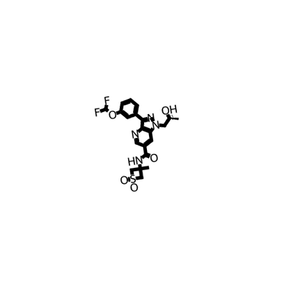 C[C@H](O)Cn1nc(-c2cccc(OC(F)F)c2)c2ncc(C(=O)NC3(C)CS(=O)(=O)C3)cc21